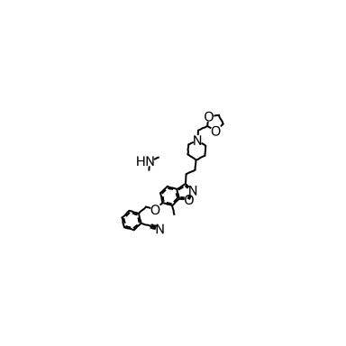 CNC.Cc1c(OCc2ccccc2C#N)ccc2c(CCC3CCN(CC4OCCO4)CC3)noc12